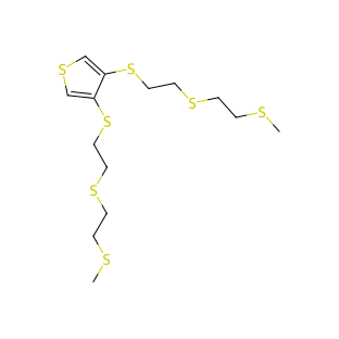 CSCCSCCSc1cscc1SCCSCCSC